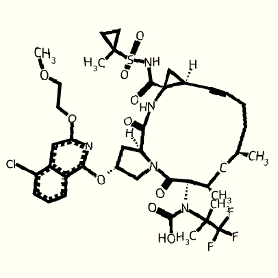 COCCOc1cc2c(Cl)cccc2c(O[C@@H]2C[C@H]3C(=O)N[C@]4(C(=O)NS(=O)(=O)C5(C)CC5)C[C@H]4C=CCC[C@@H](C)C[C@@H](C)[C@H](N(C(=O)O)C(C)(C)C(F)(F)F)C(=O)N3C2)n1